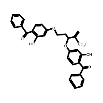 C=C(C(=O)O)C(CCOc1ccc(C(=O)c2ccccc2)c(O)c1)Oc1ccc(C(=O)c2ccccc2)c(O)c1